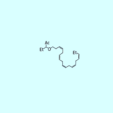 CC/C=C\C/C=C\C/C=C\C/C=C\C/C=C\CCOC(CC)C(C)=O